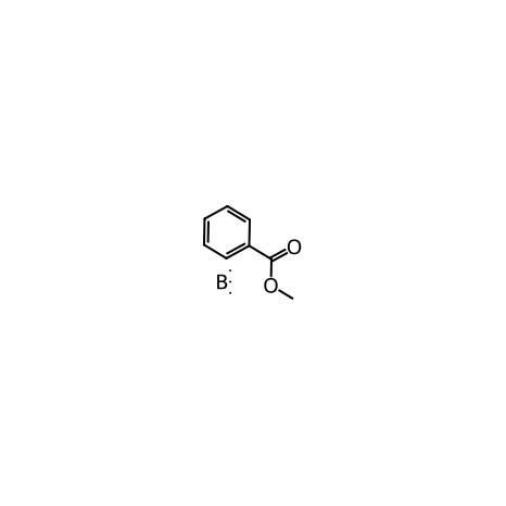 COC(=O)c1ccccc1.[B]